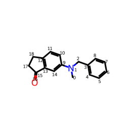 CN(Cc1ccccc1)c1ccc2c(c1)C(=O)CC2